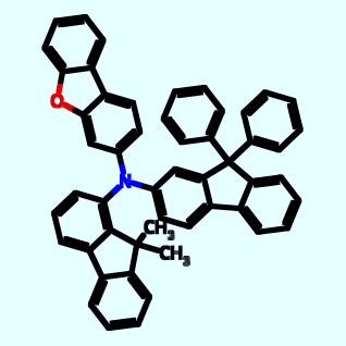 CC1(C)c2ccccc2-c2cccc(N(c3ccc4c(c3)C(c3ccccc3)(c3ccccc3)c3ccccc3-4)c3ccc4c(c3)oc3ccccc34)c21